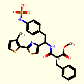 COC(=O)[C@@H](Cc1ccccc1)C(=O)NC(Cc1ccc(NS(=O)(=O)O)cc1)c1csc(-c2sccc2C)n1